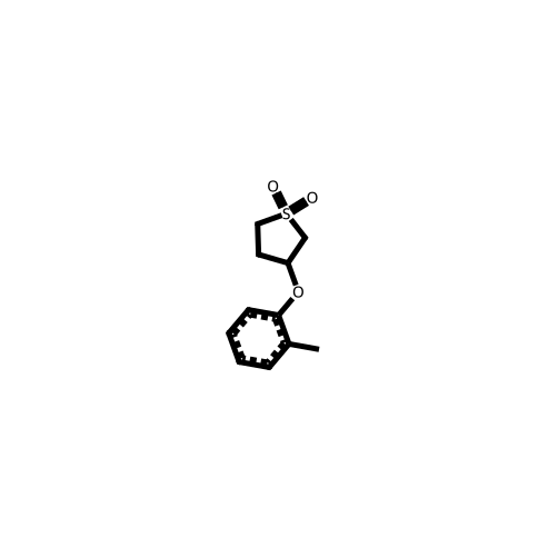 Cc1ccccc1OC1CCS(=O)(=O)C1